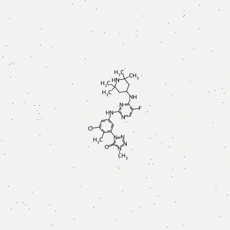 Cc1c(Cl)cc(Nc2ncc(F)c(NC3CC(C)(C)NC(C)(C)C3)n2)cc1-n1nnn(C)c1=O